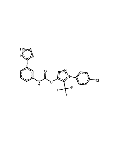 O=C(Nc1cccc(-c2nn[nH]n2)c1)Oc1cnn(-c2ccc(Cl)cc2)c1C(F)(F)F